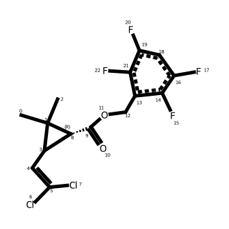 CC1(C)C(C=C(Cl)Cl)[C@H]1C(=O)OCc1c(F)c(F)cc(F)c1F